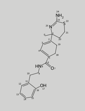 CC1(C2=CC=C(C(=O)NCCc3ccccc3O)CC2)CCSC(N)=N1